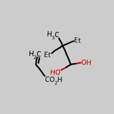 C=CC(=O)O.CCC(C)(CC)C(O)O